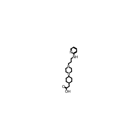 O=C(O)CC1CCC(N2CCN(CCCNc3ccccn3)CC2)CC1